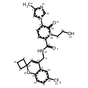 Cc1cn(-c2ccc(C(=O)NCC3=CC4(CCC4)Oc4ccc(C(F)(F)F)cc43)n(CCO)c2=O)cn1